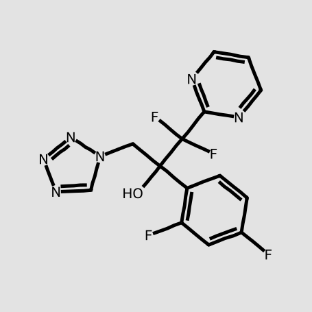 OC(Cn1cnnn1)(c1ccc(F)cc1F)C(F)(F)c1ncccn1